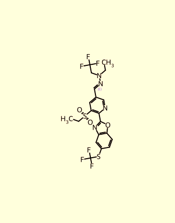 CCN(CC(F)(F)F)/N=C/c1cnc(-c2nc3cc(SC(F)(F)F)ccc3o2)c(S(=O)(=O)CC)c1